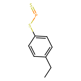 CCc1ccc(SP=S)cc1